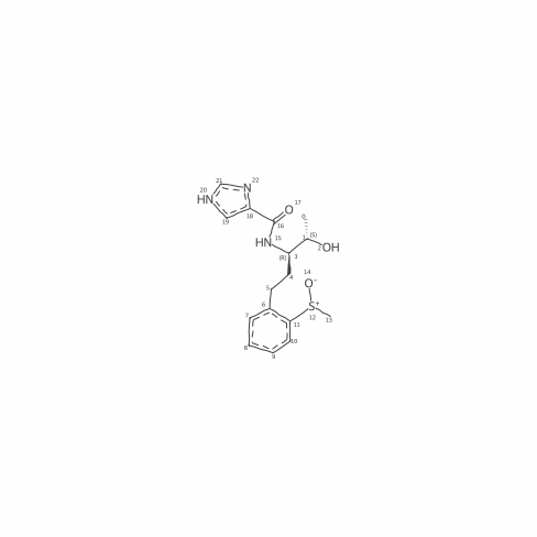 C[C@H](O)[C@@H](CCc1ccccc1[S+](C)[O-])NC(=O)c1c[nH]cn1